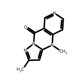 Cc1cc2n(C)c3ccncc3c(=O)n2n1